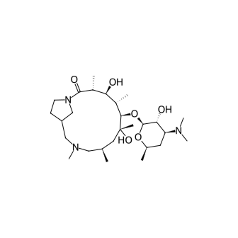 C[C@H]1CN(C)CC2CCN(C2)C(=O)[C@H](C)[C@@H](O)[C@H](C)[C@@H](O[C@@H]2O[C@H](C)C[C@H](N(C)C)[C@H]2O)[C@](C)(O)C1